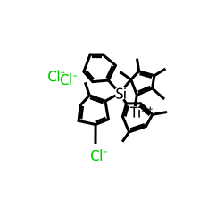 CC1=C(C)C(C)([Si](c2ccccc2)(c2cc(C)cc(C)c2)c2cc(C)ccc2C)[C]([Ti+3])=C1C.[Cl-].[Cl-].[Cl-]